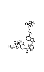 CN(C1CCC(Nc2nccc(-n3ncc4c(OCCCS(C)(=O)=O)cccc43)n2)CC1)S(C)(=O)=O